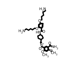 COc1cc(OC)c(C(=O)[N+]#CC2CCC(NC(=O)c3ccc(OCCCCCN)cc3OCCCCCN)CC2)cc1C(N)=O